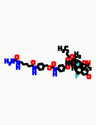 CCCC1O[C@@H]2CC3[C@@H]4C[C@H](F)C5=CC(=O)C=C[C@]5(C)[C@@]4(F)[C@@H](O)C[C@]3(C)[C@]2(C(=O)COc2ccc(NC(=O)OCc3ccc(NC(=O)CCCCNC(N)=O)cc3)cc2)O1